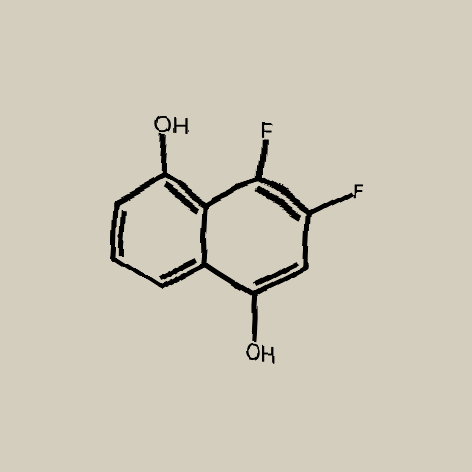 Oc1cc(F)c(F)c2c(O)cccc12